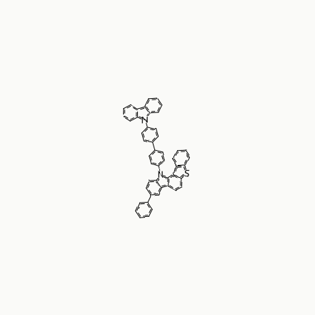 c1ccc(-c2ccc3c(c2)c2ccc4sc5ccccc5c4c2n3-c2ccc(-c3ccc(-n4c5ccccc5c5ccccc54)cc3)cc2)cc1